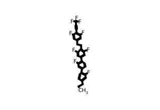 CCCc1ccc(-c2ccc(-c3cc(F)c(CCc4cc(F)c(C#CC(F)(F)F)c(F)c4)c(F)c3)c(F)c2)c(F)c1